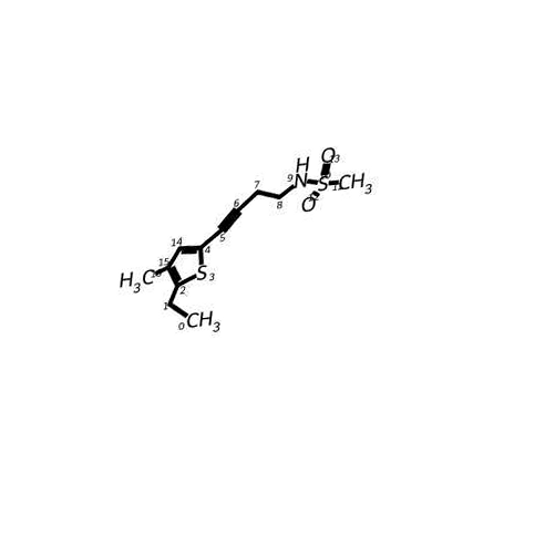 CCc1sc(C#CCCNS(C)(=O)=O)cc1C